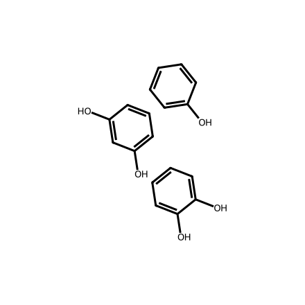 Oc1cccc(O)c1.Oc1ccccc1.Oc1ccccc1O